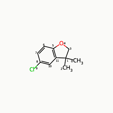 CC1(C)COc2ccc(Cl)cc21